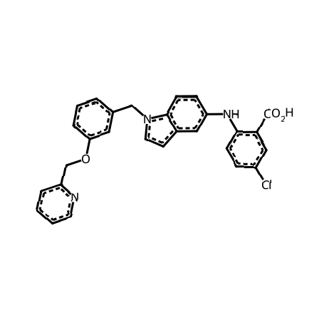 O=C(O)c1cc(Cl)ccc1Nc1ccc2c(ccn2Cc2cccc(OCc3ccccn3)c2)c1